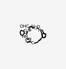 O=C[C@@H]1C[C@@H]2CN1C(=O)[C@H](C1CCCCC1)Nc1nc(cs1)CCC/C=C/c1cccc3c1CN(C3)C(=O)O2